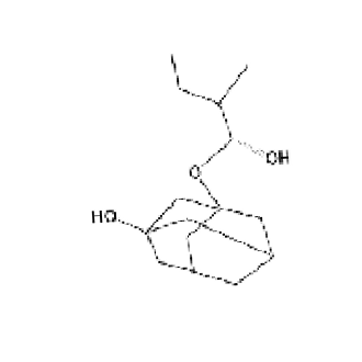 CCC(C)[C@H](O)OC12CC3CC(CC(O)(C3)C1)C2